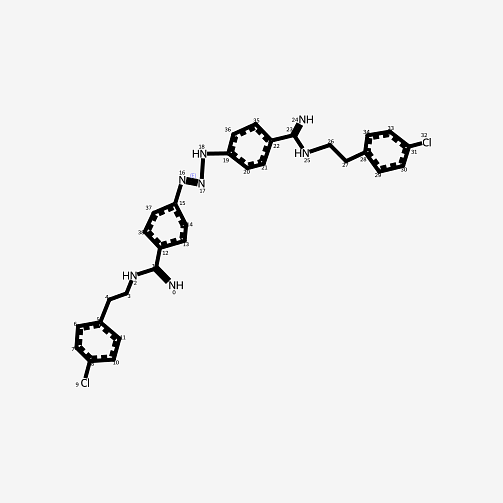 N=C(NCCc1ccc(Cl)cc1)c1ccc(/N=N/Nc2ccc(C(=N)NCCc3ccc(Cl)cc3)cc2)cc1